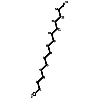 [O]CCCCCCCCCCCCCCF